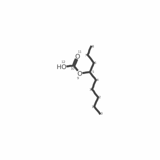 CCCCCC(CCC)OC(=O)O